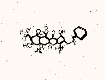 CN(Cc1ccccc1)Cc1cc(O)c2c(c1C(F)(F)F)C[C@H]1C[C@H]3[C@H](N(C)C)C(O)=C(C(N)=O)C(=O)[C@@]3(O)C(O)=C1C2=O